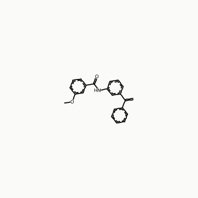 C=C(c1ccccc1)c1cccc(NC(=O)c2cccc(OC)c2)c1